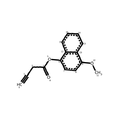 C#CCC(=O)Oc1ccc(OC)c2ccccc12